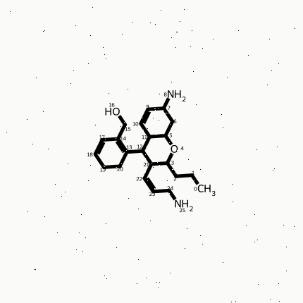 CCCC1OC2CC(N)C=CC2C(C2=C(CO)C=CCC2)C1/C=C\CN